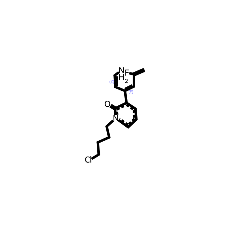 C=C(F)/C=C(\C=C/N)c1cccn(CCCCCl)c1=O